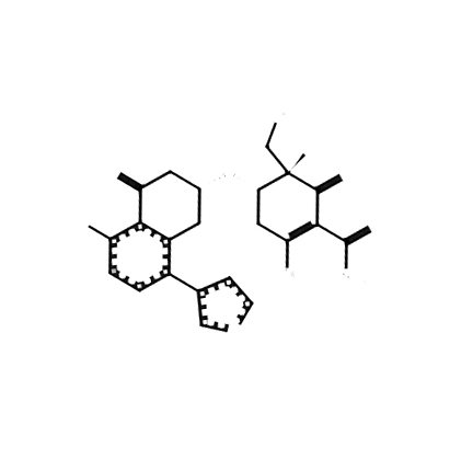 NC(=O)C1=C(O)C[C@H](C[C@H]2CC(=O)c3c(O)ccc(-c4ccoc4)c3C2)[C@](O)(CO)C1=O